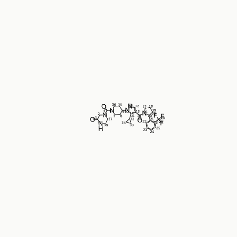 O=C1CN(C(=O)N2CCC(n3ncc(C(=O)N4CCCC4c4ccccc4C(F)(F)F)c3C3CC3)CC2)CCN1